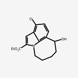 CCOC(=O)c1cc2c(Cl)ccc3c2n1CCCCC3O